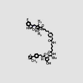 Cc1ncsc1-c1ccc(CNC(=O)[C@@H]2C[C@@H](O)CN2C(=O)[C@@H](NC(=O)CCCCNC(=O)CN2CCN(CCCNC(=O)c3c(C)[nH]c(/C=C4\C(=O)Nc5ccc(F)cc54)c3C)CC2)C(C)(C)C)cc1